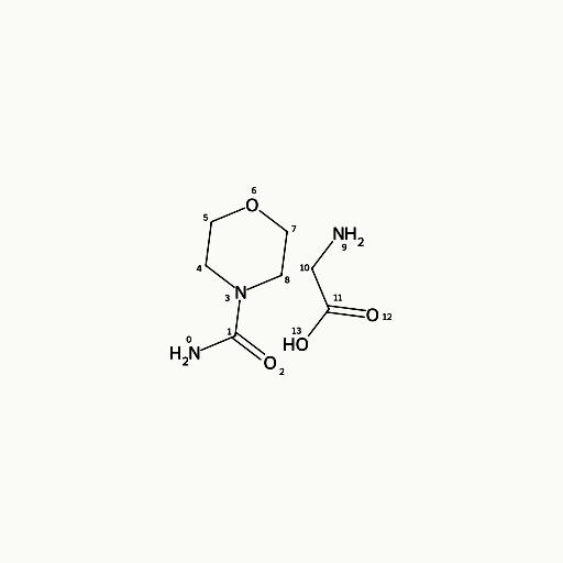 NC(=O)N1CCOCC1.NCC(=O)O